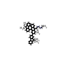 C=C(/C=C\N=C/N)c1c2ccccc2c(-c2cccc3c2-c2ccccc2C3(C)C)c2cc(-c3ccc4c(c3)C(C)(C)c3ccccc3-4)ccc12